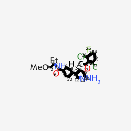 CCC(COC)NC(=O)c1ccc(-c2cnc(N)c(OC(C)c3c(Cl)ccc(F)c3Cl)c2)cc1